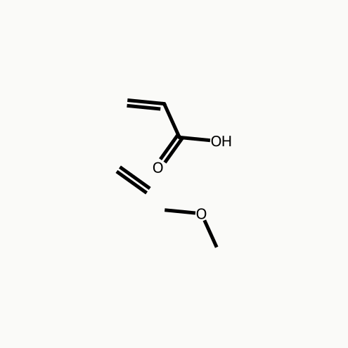 C=C.C=CC(=O)O.COC